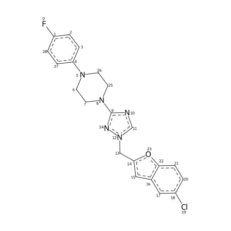 Fc1ccc(N2CCN(c3ncn(Cc4cc5cc(Cl)ccc5o4)n3)CC2)cc1